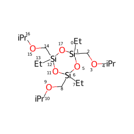 CC[Si]1(COC(C)C)O[Si](CC)(COC(C)C)O[Si](CC)(COC(C)C)O1